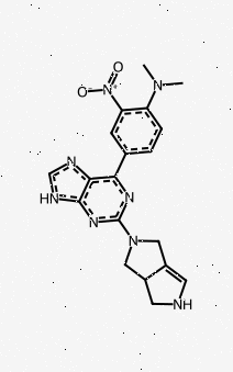 CN(C)c1ccc(-c2nc(N3CC4=CNCC4C3)nc3[nH]cnc23)cc1[N+](=O)[O-]